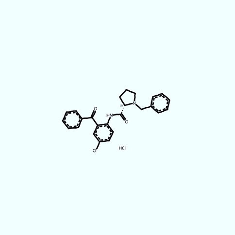 Cl.O=C(c1ccccc1)c1cc(Cl)ccc1NC(=O)[C@@H]1CCCN1Cc1ccccc1